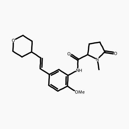 COc1ccc(C=CC2CCOCC2)cc1NC(=O)C1CCC(=O)N1C